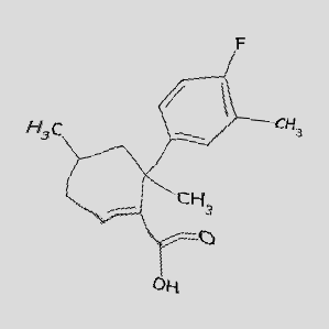 Cc1cc(C2(C)CC(C)CC=C2C(=O)O)ccc1F